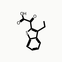 CCc1c(C(=O)C(=O)O)sc2ccccc12